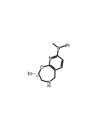 CC[C@H]1CNCc2ccc(N(C)C(C)C)nc2O1